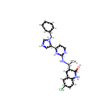 C[C@H](Nc1nccc(-c2cncn2Cc2ccccc2)n1)c1cc2cc(Cl)ccc2[nH]c1=O